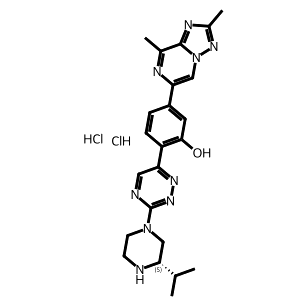 Cc1nc2c(C)nc(-c3ccc(-c4cnc(N5CCN[C@@H](C(C)C)C5)nn4)c(O)c3)cn2n1.Cl.Cl